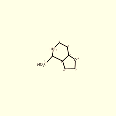 O=C(O)C1NCCC2OCCC21